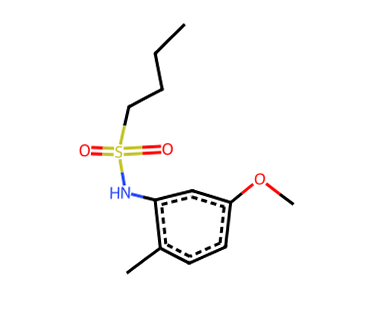 CCCCS(=O)(=O)Nc1cc(OC)ccc1C